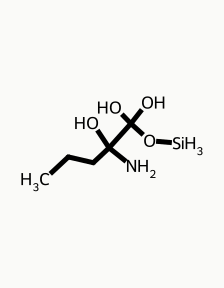 CCCC(N)(O)C(O)(O)O[SiH3]